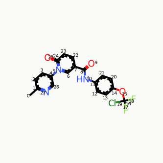 Cc1ccc(-n2cc(C(=O)Nc3ccc(OC(F)(F)Cl)cc3)ccc2=O)cn1